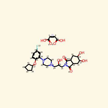 O=C(O)/C=C\C(=O)O.O=C1C2CC(O)C(O)CC2C(=O)N1CC(O)CN1CCN(c2cc(F)ccc2OC2CCCC2)CC1